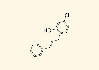 Oc1cc(Cl)ccc1C/C=C/c1ccccc1